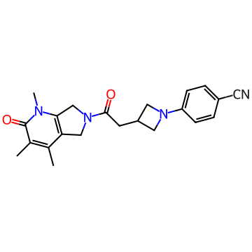 Cc1c2c(n(C)c(=O)c1C)CN(C(=O)CC1CN(c3ccc(C#N)cc3)C1)C2